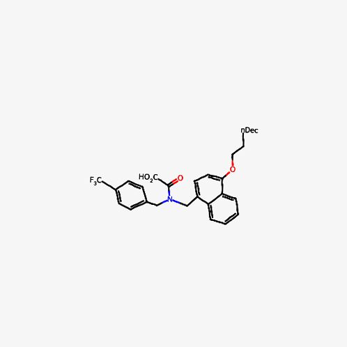 CCCCCCCCCCCCOc1ccc(CN(Cc2ccc(C(F)(F)F)cc2)C(=O)C(=O)O)c2ccccc12